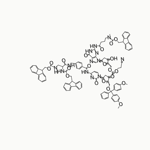 COc1ccc(C(OC[C@H]2O[C@@H](n3ccc(NC(=O)c4ccc(CNC(=O)C(CNC(=O)OCC5c6ccccc6-c6ccccc65)NC(=O)OCC5c6ccccc6-c6ccccc65)cc4)nc3=O)C[C@H]2OP(OCCC#N)OC[C@H]2O[C@@H](n3cnc4c(=O)[nH]c(NC(=O)CCCN(C)C(=O)OCC5c6ccccc6-c6ccccc65)nc43)C[C@H]2O)(c2ccccc2)c2ccc(OC)cc2)cc1